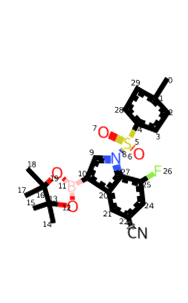 Cc1ccc(S(=O)(=O)n2cc(B3OC(C)(C)C(C)(C)O3)c3cc(C#N)cc(F)c32)cc1